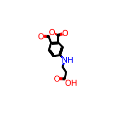 O=C(O)CCNc1ccc2c(c1)C(=O)OC2=O